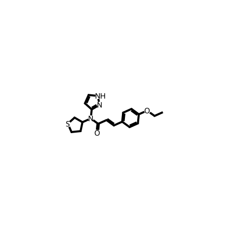 CCOc1ccc(/C=C/C(=O)N(c2cc[nH]n2)C2CCSC2)cc1